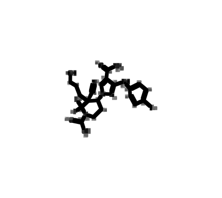 N#C[C@@]1(CCCO)[C@@H](n2cc(C(N)=O)c(Nc3ccc(F)cc3)n2)CCN(C(=O)O)C1(F)F